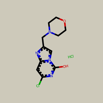 Cl.Oc1nc(Cl)cc2nc(CN3CCOCC3)cn12